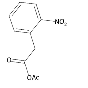 CC(=O)OC(=O)Cc1ccccc1[N+](=O)[O-]